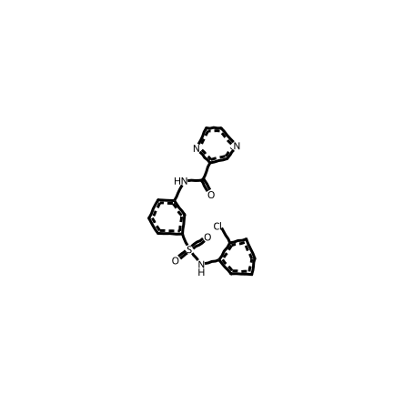 O=C(Nc1cccc(S(=O)(=O)Nc2ccccc2Cl)c1)c1cnccn1